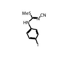 CSC(=NC#N)Nc1ccc(I)cc1